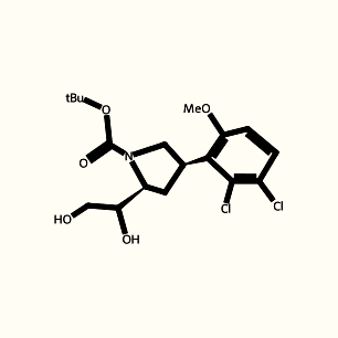 COc1ccc(Cl)c(Cl)c1[C@H]1C[C@@H](C(O)CO)N(C(=O)OC(C)(C)C)C1